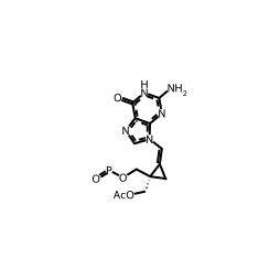 CC(=O)OC[C@@]1(COP=O)C/C1=C/n1cnc2c(=O)[nH]c(N)nc21